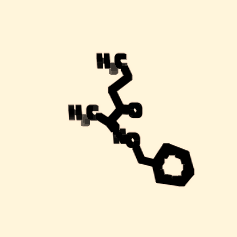 CCCC(=O)C(C)=NOCc1ccccc1